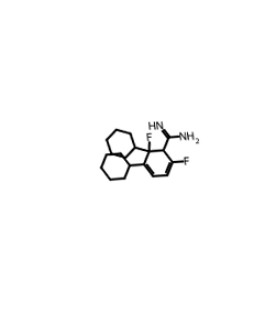 N=C(N)C1C(F)=CC=C(C2CCCCC2)C1(F)C1CCCCC1